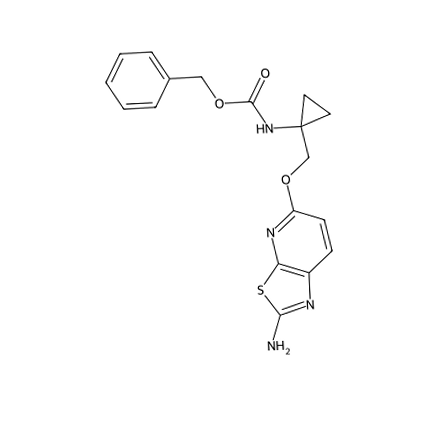 Nc1nc2ccc(OCC3(NC(=O)OCc4ccccc4)CC3)nc2s1